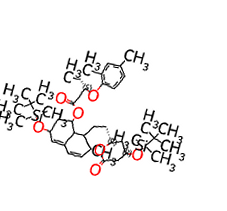 CC[C@H](Oc1ccc(C)cc1C)C(=O)OC1CC(O[Si](C)(C)C(C)(C)C)C=C2C=CC(C)C(CC[C@@H]3C[C@@H](O[Si](C)(C)C(C)(C)C)CC(=O)O3)C21